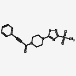 CS(=O)(=O)c1nsc(N2CCN(C(=O)C#Cc3ccccc3)CC2)n1